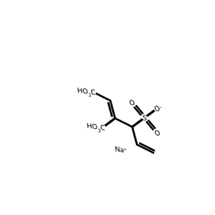 C=CC(/C(=C/C(=O)O)C(=O)O)S(=O)(=O)[O-].[Na+]